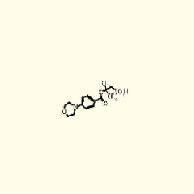 O=C(OC(CS(=O)(=O)O)(C(F)(F)F)C(F)(F)F)c1ccc(N2CCOCC2)cc1